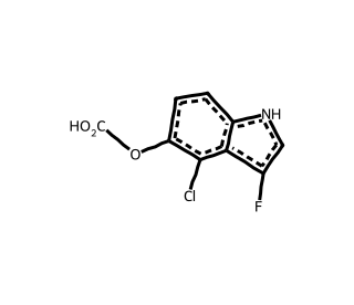 O=C(O)Oc1ccc2[nH]cc(F)c2c1Cl